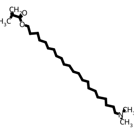 C=C(C)C(=O)OCCCCCCCCCCCCCCCCCCCCCCN(C)C